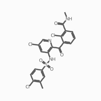 CNC(=O)c1cccc(C(=O)c2ncc(Cl)cc2NS(=O)(=O)c2ccc(Cl)c(C)c2)c1Cl